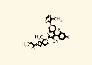 C=CC(=O)N1CC2(CCN(c3nc4c(c(-c5ccc(F)cc5F)c3C#N)CCN(c3scnc3C)C4)[C@H]2C)C1